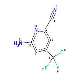 N#Cc1cc(C(F)(F)F)cc(N)n1